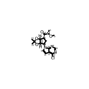 CON(C)C(=O)[C@H]1C[C@@H](n2ccc3c(Cl)ncnc32)[C@@H]2OC(C)(C)O[C@@H]21